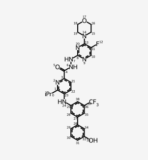 CC(C)c1nc(C(=O)NNc2ncc(F)c(N3CCOCC3)n2)ccc1Nc1cc(-c2cccc(O)c2)cc(C(F)(F)F)c1